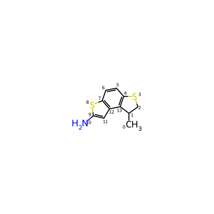 CC1CSc2ccc3sc(N)cc3c21